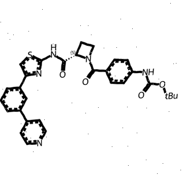 CC(C)(C)OC(=O)Nc1ccc(C(=O)N2CC[C@H]2C(=O)Nc2nc(-c3cccc(-c4ccncc4)c3)cs2)cc1